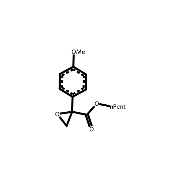 CCCCCOC(=O)C1(c2ccc(OC)cc2)CO1